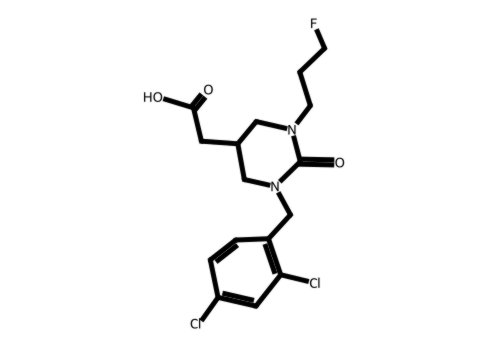 O=C(O)CC1CN(CCCF)C(=O)N(Cc2ccc(Cl)cc2Cl)C1